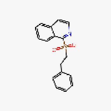 O=S(=O)(CCc1ccccc1)c1nccc2ccccc12